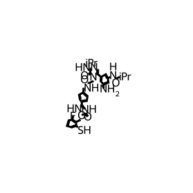 CC(C)Nc1ncc(-c2cc(N)cc(NC(=O)C(C)C)c2)n(CC(=O)NCc2ccc(C(=N)NC(=O)OCc3c(F)cccc3S)cc2)c1=O